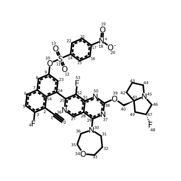 C#Cc1c(F)ccc2cc(OS(=O)(=O)c3ccc([N+](=O)[O-])cc3)cc(-c3ncc4c(N5CCCOCC5)nc(OC[C@@]56CCCN5C[C@H](F)C6)nc4c3F)c12